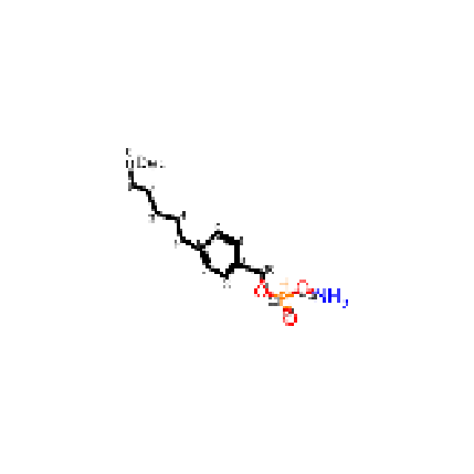 CCCCCCCCCCCCCCCc1ccc(CO[PH](=O)ON)cc1